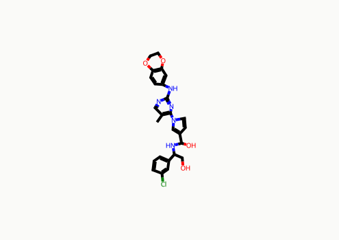 Cc1cnc(Nc2ccc3c(c2)OCCO3)nc1-n1ccc(C(O)NC(CO)c2cccc(Cl)c2)c1